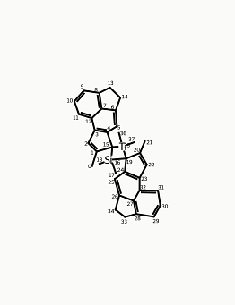 CC1=Cc2c(cc3c4c(cccc24)CC3)[C]12[Si](C)(C)[C]1(C(C)=Cc3c1cc1c4c(cccc34)CC1)[Ti]2([CH3])[CH3]